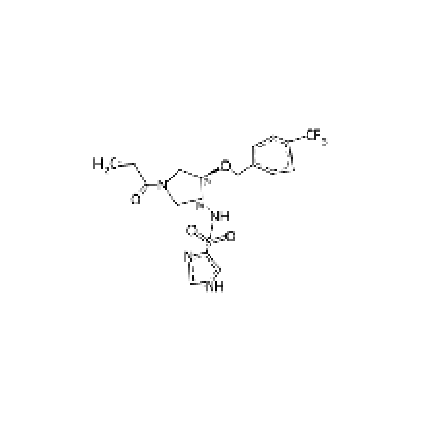 C=CC(=O)N1C[C@@H](NS(=O)(=O)c2c[nH]cn2)[C@H](OCc2ccc(C(F)(F)F)cc2)C1